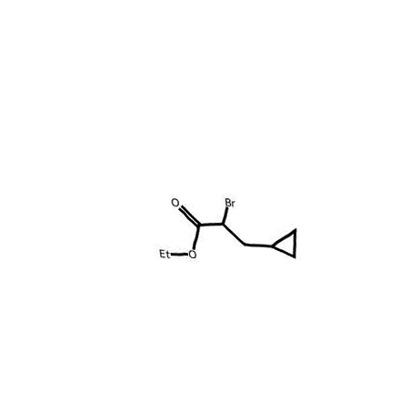 CCOC(=O)C(Br)CC1CC1